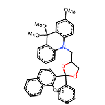 COc1ccc2c(c1)C(OC)(OC)c1ccccc1N2CC1COC(c2ccccc2)(c2ccc3ccccc3c2OC)O1